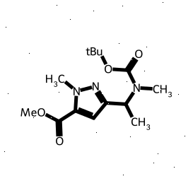 COC(=O)c1cc(C(C)N(C)C(=O)OC(C)(C)C)nn1C